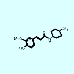 COc1cc(/C=C/C(=O)N[C@H]2CC[C@H](C)CC2)ccc1O